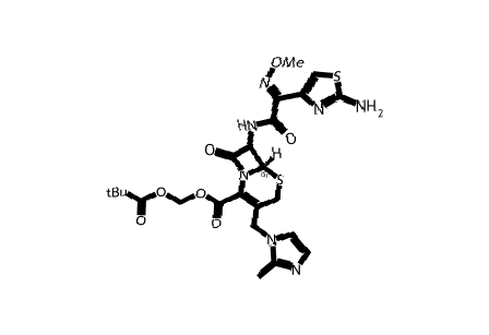 CON=C(C(=O)NC1C(=O)N2C(C(=O)OCOC(=O)C(C)(C)C)=C(Cn3ccnc3C)CS[C@@H]12)c1csc(N)n1